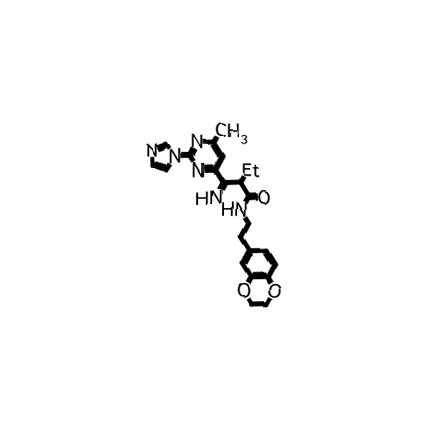 CCC(C(=N)c1cc(C)nc(-n2ccnc2)n1)C(=O)NCCc1ccc2c(c1)OCCO2